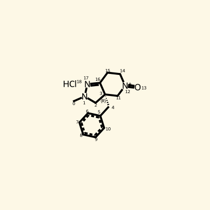 CN1C[C@]2(Cc3ccccc3)C[N+](=O)CCC2=N1.Cl